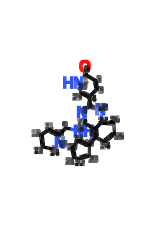 O=c1ccc(-c2nc(NCc3ccccn3)c3c(-c4ccccc4)cccc3n2)c[nH]1